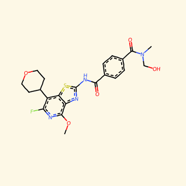 COc1nc(F)c(C2CCOCC2)c2sc(NC(=O)c3ccc(C(=O)N(C)CO)cc3)nc12